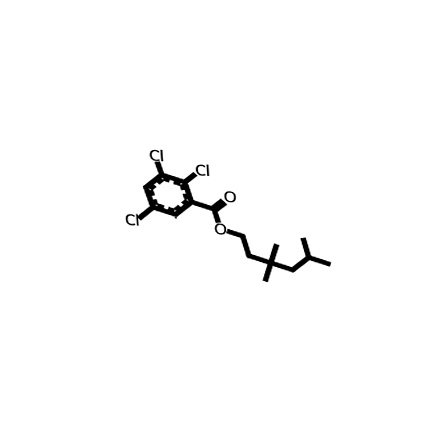 CC(C)CC(C)(C)CCOC(=O)c1[c]c(Cl)cc(Cl)c1Cl